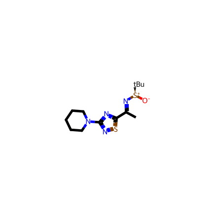 CC(=N[S@+]([O-])C(C)(C)C)c1nc(N2CCCCC2)ns1